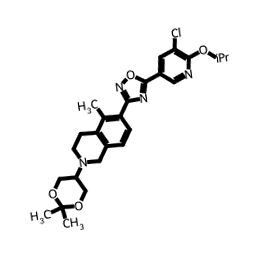 Cc1c(-c2noc(-c3cnc(OC(C)C)c(Cl)c3)n2)ccc2c1CCN(C1COC(C)(C)OC1)C2